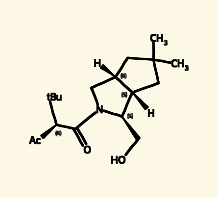 CC(=O)[C@H](C(=O)N1C[C@@H]2CC(C)(C)C[C@@H]2[C@H]1CO)C(C)(C)C